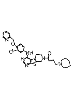 O=C(C=CCN1CCCCCC1)N1CCc2c(sc3ncnc(Nc4ccc(OCc5ccccn5)c(Cl)c4)c23)C1